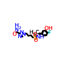 C[C@@H](NS(=O)(=O)CCCCn1cnc(C(N)=O)n1)c1ccc(F)c(O)c1